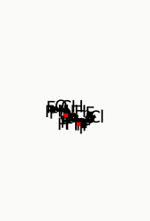 C[C@H](NC(=O)CCC(F)(F)F)NC(=O)c1ccc(/C(F)=C/C(c2ccc(Cl)c(F)c2)C(F)(F)F)cc1C(F)(F)F